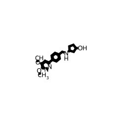 COc1cc(-c2ccc(CNC3CCC(O)C3)cc2)nnc1OC